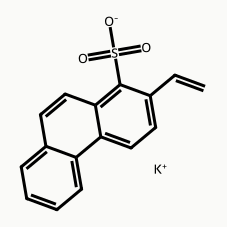 C=Cc1ccc2c(ccc3ccccc32)c1S(=O)(=O)[O-].[K+]